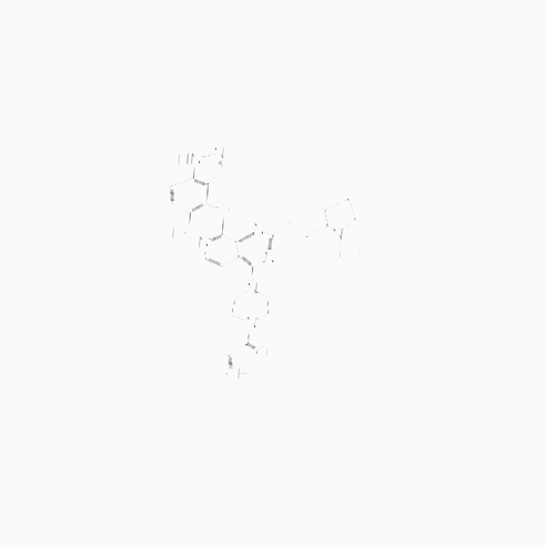 C=CC(=O)N1CCN(c2nc(OCC3CCCN3C)nc3c(Oc4c(C)ccc5[nH]ncc45)nccc23)CC1